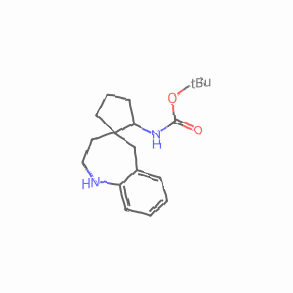 CC(C)(C)OC(=O)NC1CCCC12CCNc1ccccc1C2